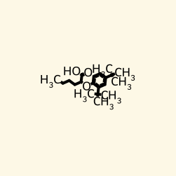 CCCCC(Oc1ccc(C(C)(C)C)cc1C(C)(C)C)C(=O)O